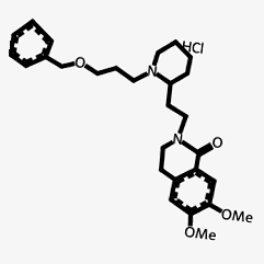 COc1cc2c(cc1OC)C(=O)N(CCC1CCCCN1CCCOCc1ccccc1)CC2.Cl